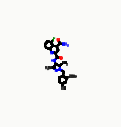 COc1cc(C#N)ccc1Cn1nc(C(F)(F)F)c(NC(=O)c2cc(C(N)=O)c3c(F)cccc3n2)c1C